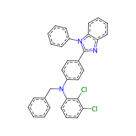 Clc1cccc(N(Cc2ccccc2)c2ccc(-c3nc4ccccc4n3-c3ccccc3)cc2)c1Cl